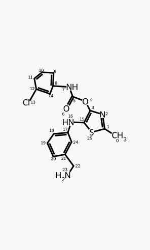 Cc1nc(OC(=O)Nc2cccc(Cl)c2)c(Nc2cccc(CN)c2)s1